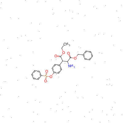 CCOC(=O)C(c1ccc(OS(=O)(=O)c2ccccc2)cc1)C(N)C(=O)OCc1ccccc1